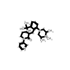 CC1CN(c2cccc(C(C)(C)O)c2CC2CCCN(c3cccnc3)C2=O)CC(C)N1C